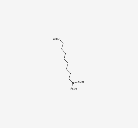 CCCCCCCCCCCCCCCCCCN(CCCCCCCC)CCCCCCCCCC